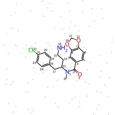 CN(C(=O)c1ccc2c(c1)OCO2)C(CCN)Cc1ccc(Cl)cc1